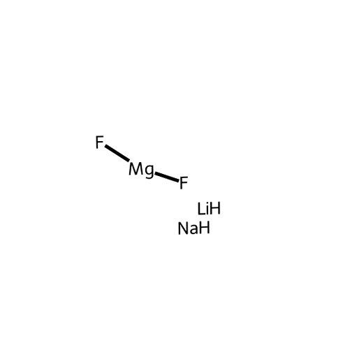 [F][Mg][F].[LiH].[NaH]